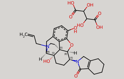 C=CCN1CC[C@]23c4c5ccc(O)c4O[C@H]2[C@@H](N2CC4=C(CCCC4)C2=O)CC[C@@]3(O)[C@H]1C5.O=C(O)C(O)C(O)C(=O)O